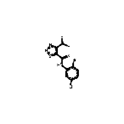 FC(F)c1nnsc1C(=S)Nc1cc(Cl)ccc1Br